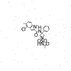 CC(=O)NS(=O)(=O)N1CC(NC(=O)c2cc3c(Cl)c(C)ccc3n2C)(c2ccccc2)C1